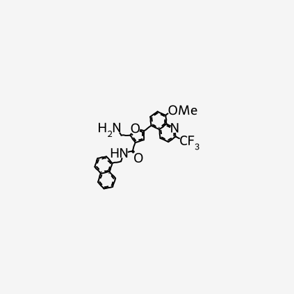 COc1ccc(-c2cc(C(=O)NCc3cccc4ccccc34)c(CN)o2)c2ccc(C(F)(F)F)nc12